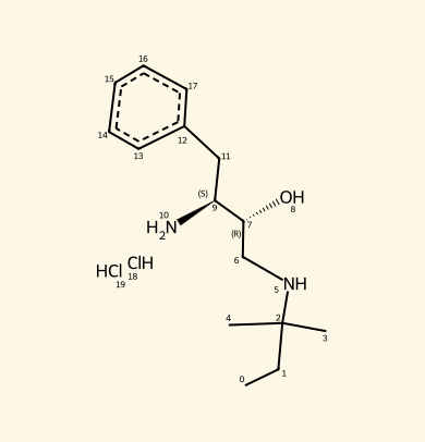 CCC(C)(C)NC[C@@H](O)[C@@H](N)Cc1ccccc1.Cl.Cl